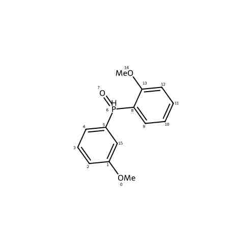 COc1cccc([PH](=O)c2ccccc2OC)c1